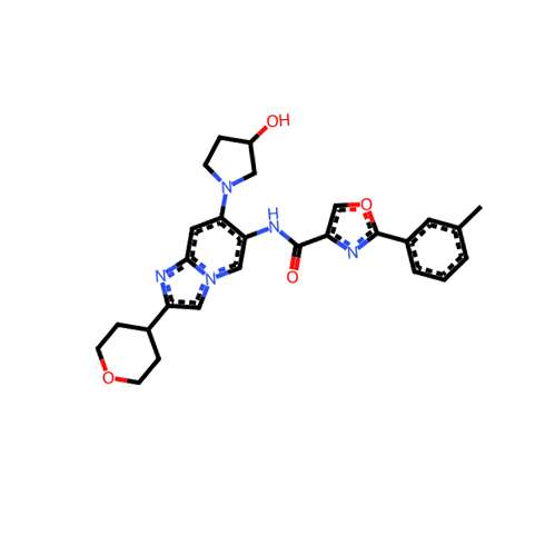 Cc1cccc(-c2nc(C(=O)Nc3cn4cc(C5CCOCC5)nc4cc3N3CCC(O)C3)co2)c1